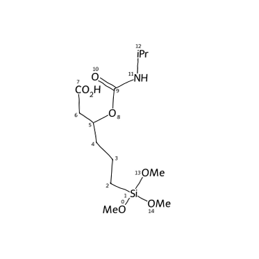 CO[Si](CCCC(CC(=O)O)OC(=O)NC(C)C)(OC)OC